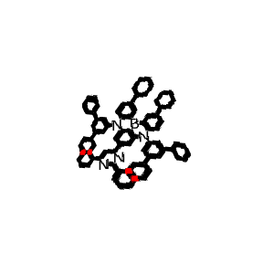 c1ccc(-c2cc(-c3ccccc3)cc(N3c4ccc(C5CCCCC5)cc4B4c5cc(C6CCCCC6)ccc5N(c5cc(-c6ccccc6)cc(-c6ccccc6)c5)c5cc(-c6cc(-c7ccccc7)nc(-c7ccccc7)n6)cc3c54)c2)cc1